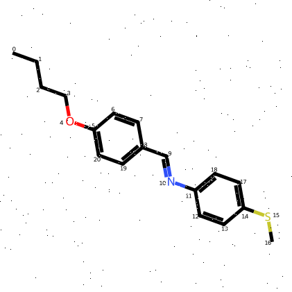 CCCCOc1ccc(C=Nc2ccc(SC)cc2)cc1